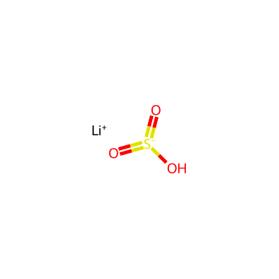 O=[S-](=O)O.[Li+]